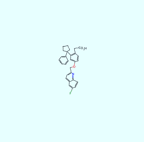 O=C(O)Cc1ccc(OCc2ccc3cc(F)ccc3n2)cc1C1(c2ccccc2)CCCC1